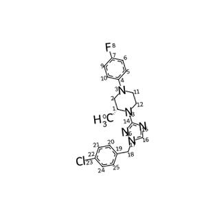 C[C@@H]1CN(c2ccc(F)cc2)CCN1c1ncn(Cc2ccc(Cl)cc2)n1